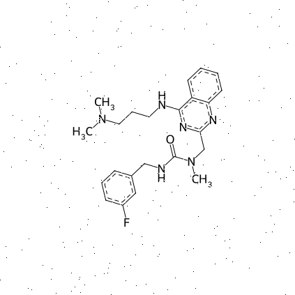 CN(C)CCCNc1nc(CN(C)C(=O)NCc2cccc(F)c2)nc2ccccc12